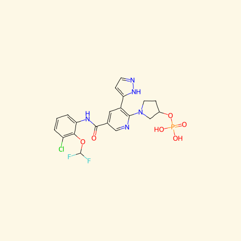 O=C(Nc1cccc(Cl)c1OC(F)F)c1cnc(N2CCC(OP(=O)(O)O)C2)c(-c2ccn[nH]2)c1